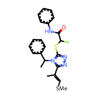 CS/C=C(\C)c1nnc(SC(F)C(=O)Nc2ccccc2)n1C(C)c1ccccc1